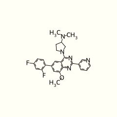 COc1cc(-c2ccc(F)cc2F)cc2c(N3CCC(N(C)C)C3)nc(-c3cccnc3)nc12